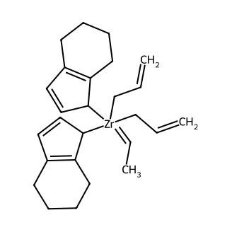 C=C[CH2][Zr](=[CH]C)([CH2]C=C)([CH]1C=CC2=C1CCCC2)[CH]1C=CC2=C1CCCC2